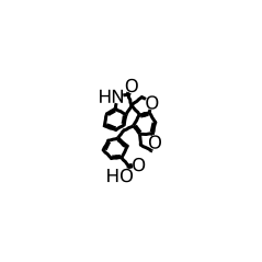 O=C(O)c1cccc(Cc2c3c(cc4c2C2(CO4)C(=O)Nc4ccccc42)OCC3)c1